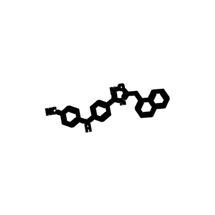 N#Cc1ccc(Nc2ccc(-c3noc(Cc4cccc5ccccc45)n3)cc2)cc1